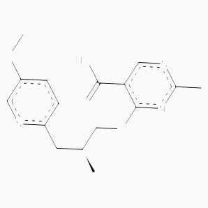 COc1ccc([C@@H](C)[C@H](C)COc2nc(C)ncc2C(=O)O)nc1